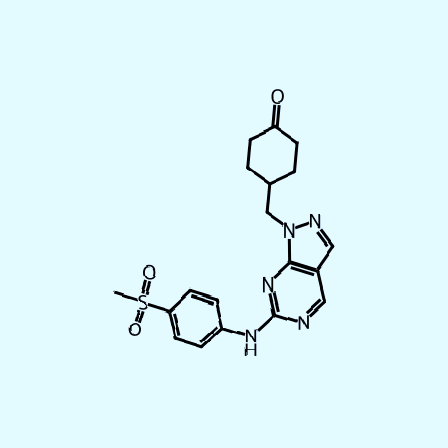 CS(=O)(=O)c1ccc(Nc2ncc3cnn(CC4CCC(=O)CC4)c3n2)cc1